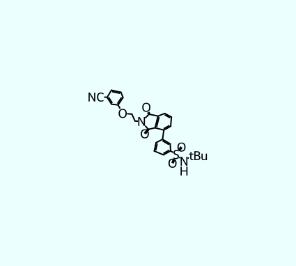 CC(C)(C)NS(=O)(=O)c1cccc(-c2cccc3c2C(=O)N(CCOc2cccc(C#N)c2)C3=O)c1